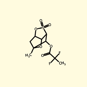 CC(F)(F)C(=O)OC1C2C3OC1(C)CC3OS2(=O)=O